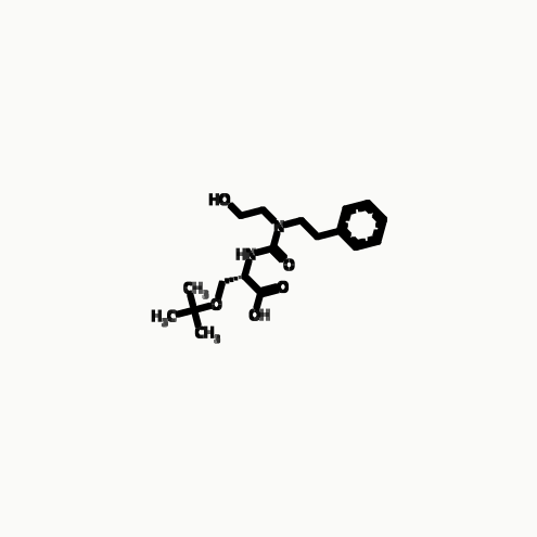 CC(C)(C)OC[C@H](NC(=O)N(CCO)CCc1ccccc1)C(=O)O